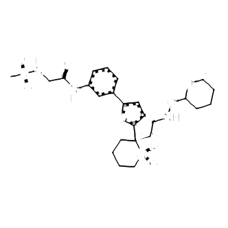 CS(=O)(=O)NCC(=O)Nc1cccc(-c2ccc([C@@]3(CC(=O)NOC4CCCCO4)CCCCS3(=O)=O)s2)c1